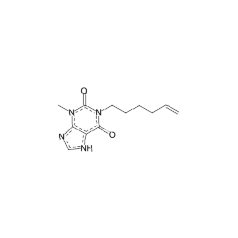 C=CCCCCn1c(=O)c2[nH]cnc2n(C)c1=O